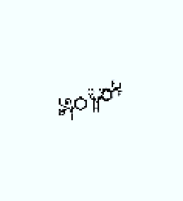 CCS(=O)(=O)N[C@H]1CC[C@H](C(=O)Nc2ccc(C(F)(F)F)cn2)CC1